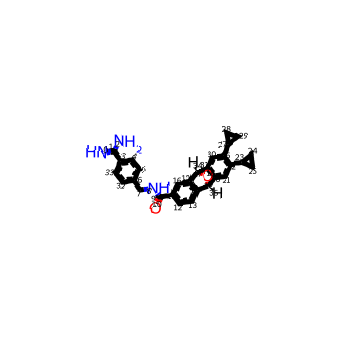 N=C(N)c1ccc(CNC(=O)c2ccc3c(c2)[C@@H]2O[C@H]3c3cc(C4CC4)c(C4CC4)cc32)cc1